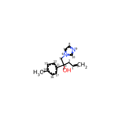 C=CCC(O)(Cn1ccnc1)c1ccc(C)cc1